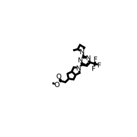 COC(=O)CC1CC2CN(c3cc(C(F)(F)F)nc(N4CCC4C)n3)CC2C1